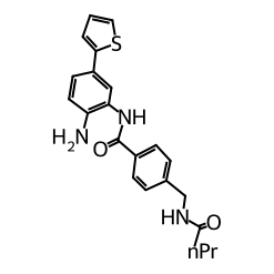 CCCC(=O)NCc1ccc(C(=O)Nc2cc(-c3cccs3)ccc2N)cc1